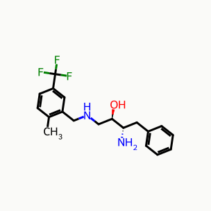 Cc1ccc(C(F)(F)F)cc1CNC[C@@H](O)[C@@H](N)Cc1ccccc1